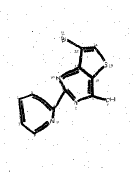 Oc1nc(-c2ccccn2)nc2c(Br)csc12